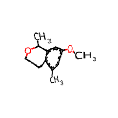 COc1cc(C)c2c(c1)C(C)OCC2